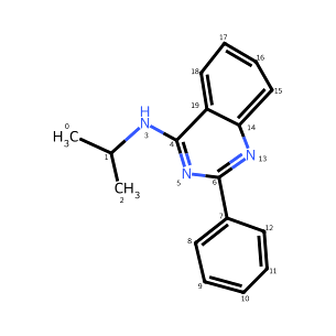 CC(C)Nc1nc(-c2ccccc2)nc2ccccc12